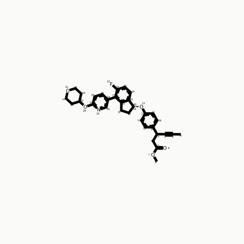 CC#CC(CC(=O)OC)c1ccc(O[C@@H]2CCc3c2ccc(F)c3-c2ccc(OC3CCOCC3)nc2)cc1